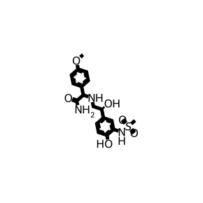 COc1ccc(C(NC[C@@H](O)c2ccc(O)c(NS(C)(=O)=O)c2)C(N)=O)cc1